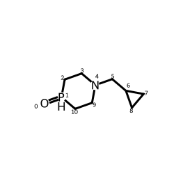 O=[PH]1CCN(CC2CC2)CC1